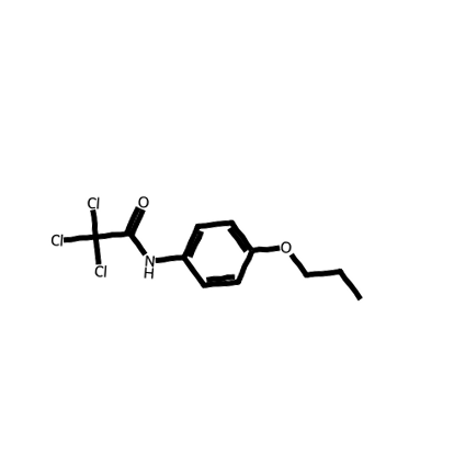 CCCOc1ccc(NC(=O)C(Cl)(Cl)Cl)cc1